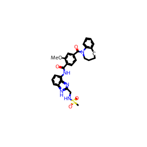 COc1cc(C(=O)N2CCCCc3ccccc32)ccc1C(=O)Nc1cccc2[nH]c(CNS(C)(=O)=O)nc12